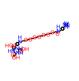 Cc1nnc(-c2ccc(CNC(=O)CCOCCOCCOCCOCCOCCOCCOCCCNc3ccc(CC4NC(CC(=O)O)CNC(CC(=O)O)CNC4CC(=O)O)cc3)cc2)nn1